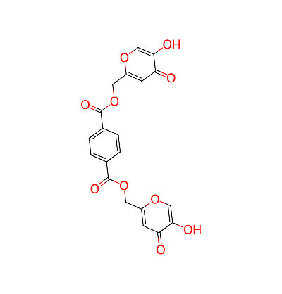 O=C(OCc1cc(=O)c(O)co1)c1ccc(C(=O)OCc2cc(=O)c(O)co2)cc1